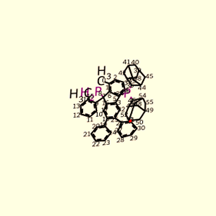 Cc1ccccc1C(P)(c1ccccc1C)c1cc(-c2ccccc2)c(-c2ccccc2)cc1CP(C1C2CC3CC(C2)CC1C3)C1C2CC3CC(C2)CC1C3